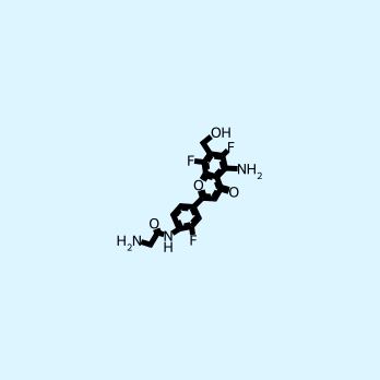 NCC(=O)Nc1ccc(-c2cc(=O)c3c(N)c(F)c(CO)c(F)c3o2)cc1F